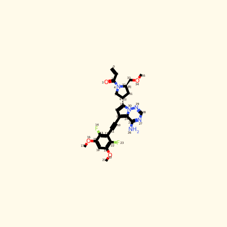 C=CC(=O)N1C[C@@H](c2cc(C#Cc3c(F)c(OC)cc(OC)c3F)c3c(N)ncnn23)C[C@@H]1COC